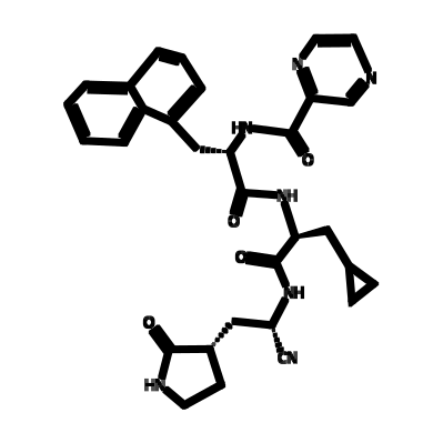 N#C[C@H](C[C@@H]1CCNC1=O)NC(=O)[C@H](CC1CC1)NC(=O)[C@H](Cc1cccc2ccccc12)NC(=O)c1cnccn1